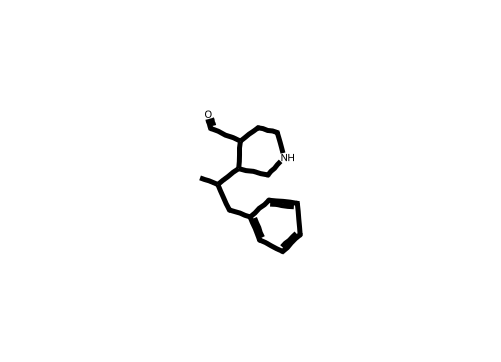 CC(Cc1ccccc1)C1CNCCC1C=O